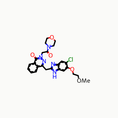 COCCOc1cc2[nH]c(Cc3nn(CC(=O)N4CCOCC4)c(=O)c4ccccc34)nc2cc1Cl